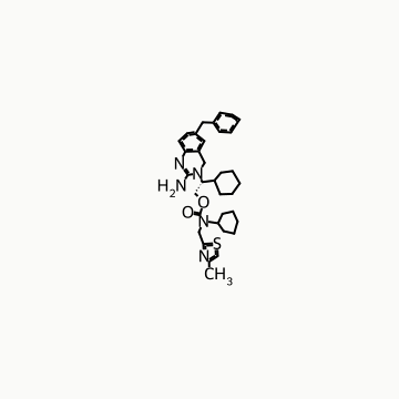 Cc1csc(CN(C(=O)OC[C@@H](C2CCCCC2)N2Cc3cc(Cc4ccccc4)ccc3N=C2N)C2CCCCC2)n1